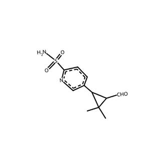 CC1(C)C(C=O)C1c1ccc(S(N)(=O)=O)nc1